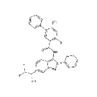 O=C(Nc1c2ccc([C@H](O)C(F)F)cc2nn1-c1ccccc1)c1cc(-c2ncccn2)c(C(F)(F)F)cc1F